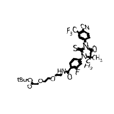 CC(C)(C)OC(=O)COCCOCCNC(=O)c1ccc(N2C(=S)N(c3ccc(C#N)c(C(F)(F)F)c3)C(=O)C2(C)C)cc1F